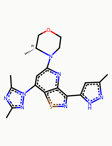 Cc1cc(-c2nsc3c(-n4nc(C)nc4C)cc(N4CCOC[C@H]4C)nc23)[nH]n1